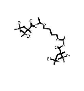 CCC(C)(C)CC(C)(C(=O)OC(C)OCCCCOC(C)OC(=O)C(C)(CC(C)(C)CC)C(C)(C)CC)C(C)(C)CC